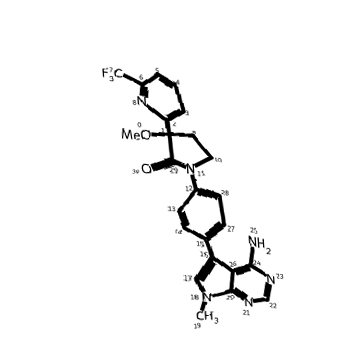 COC1(c2cccc(C(F)(F)F)n2)CCN(c2ccc(-c3cn(C)c4ncnc(N)c34)cc2)C1=O